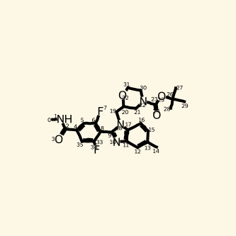 CNC(=O)c1cc(F)c(-c2nc3cc(C)ccc3n2CC2CN(C(=O)OC(C)(C)C)CCO2)c(F)c1